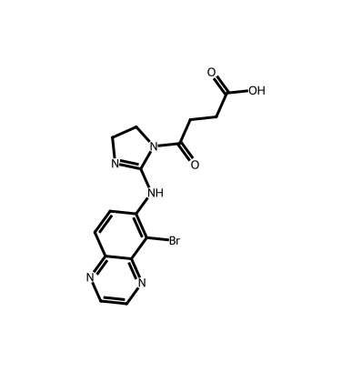 O=C(O)CCC(=O)N1CCN=C1Nc1ccc2nccnc2c1Br